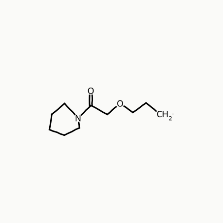 [CH2]CCOCC(=O)N1CCCCC1